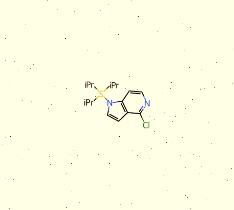 CC(C)S(C(C)C)(C(C)C)n1ccc2c(Cl)nccc21